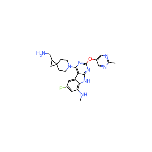 CNc1cc(F)cc2c1[nH]c1nc(Oc3cnc(C)nc3)nc(N3CCC4(CC3)CC4CN)c12